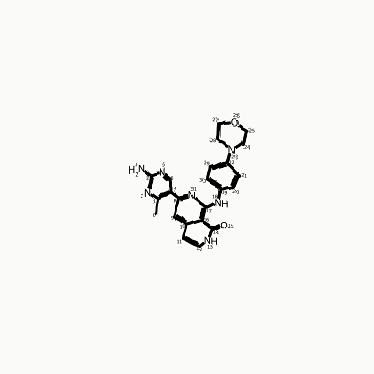 Cc1nc(N)ncc1-c1cc2cc[nH]c(=O)c2c(Nc2ccc(N3CCOCC3)cc2)n1